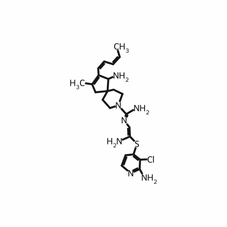 C/C=C\C=C/C1=C(C)CC2(CCN(/C(N)=N/C=C(\N)Sc3ccnc(N)c3Cl)CC2)C1N